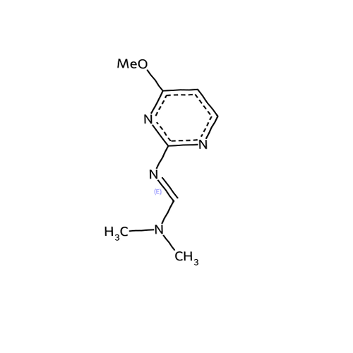 COc1ccnc(/N=C/N(C)C)n1